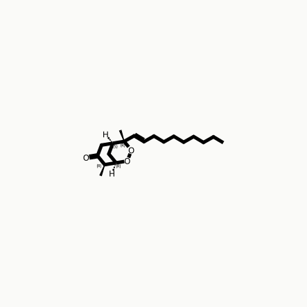 CCCCCCCCC=C[C@]1(C)OO[C@@H]2C[C@H]1CC(=O)[C@@H]2C